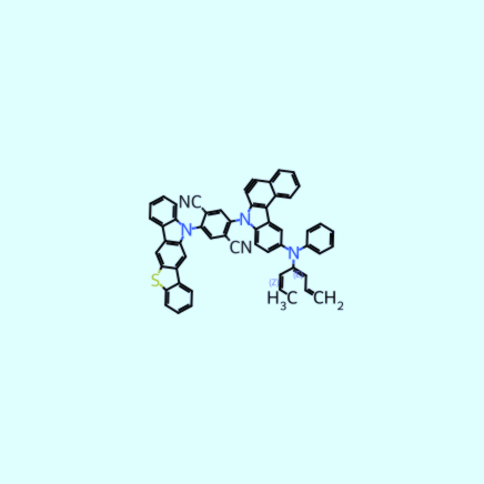 C=C/C=C(\C=C/C)N(c1ccccc1)c1ccc2c(c1)c1c3ccccc3c#cc1n2-c1cc(C#N)c(-n2c3ccccc3c3cc4sc5ccccc5c4cc32)cc1C#N